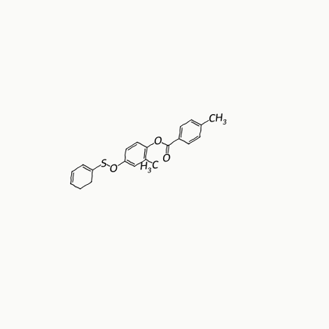 Cc1ccc(C(=O)Oc2ccc(OSC3=CC=CCC3)cc2C)cc1